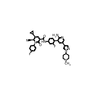 CN1CCC(n2cc(-c3cnc(N)c(-c4ccc(NC(=O)c5cc(C6CC6)c(C#N)n(-c6ccc(F)cc6)c5=O)cc4F)c3)cn2)CC1